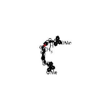 COc1ccc(C(SCCNC(=O)COc2ccc(COC(=O)CC(C)CC(=O)OCc3ccc(OCC(=O)NCCSC(c4ccccc4)(c4ccccc4)c4ccc(OC)cc4)cc3)cc2)(c2ccccc2)c2ccccc2)cc1